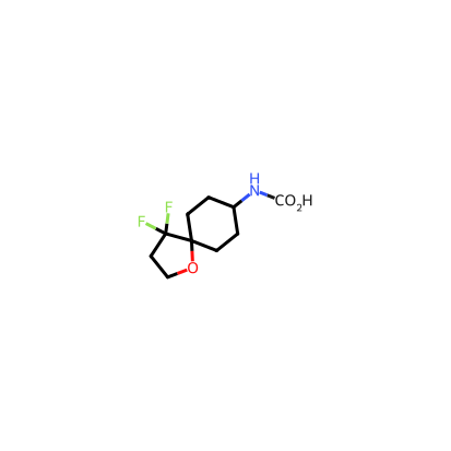 O=C(O)NC1CCC2(CC1)OCCC2(F)F